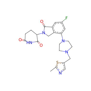 Cc1ncc(CN2CCN(c3cc(F)cc4c3CN(C3CCC(=O)NC3=O)C4=O)CC2)s1